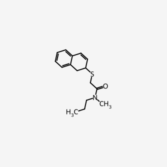 CCCN(C)C(=O)CSC1C=Cc2ccccc2C1